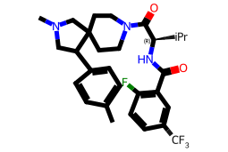 Cc1ccc(C2CN(C)CC23CCN(C(=O)[C@H](NC(=O)c2cc(C(F)(F)F)ccc2F)C(C)C)CC3)cc1